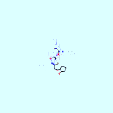 CO/N=C(\C(=O)N[C@@H]1C(=O)N2C(C(=O)O)=C(/C=C3/OC(=O)c4ccccc43)CS[C@@H]12)c1csc(N)n1